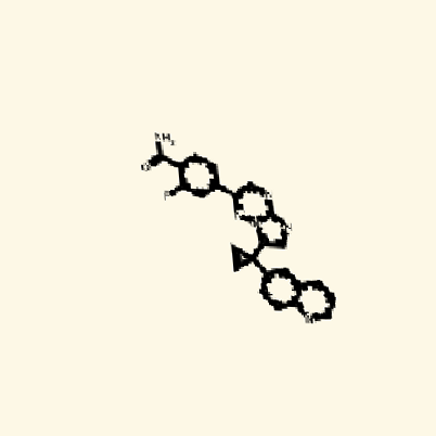 NC(=O)c1ccc(-c2cnc3ncc(C4(c5ccc6ncccc6c5)C=C4)n3n2)cc1F